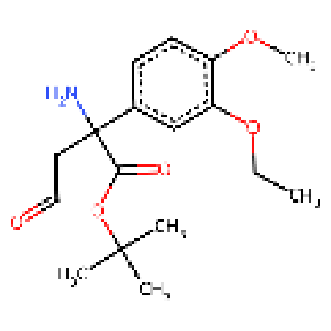 CCOc1cc(C(N)(CC=O)C(=O)OC(C)(C)C)ccc1OC